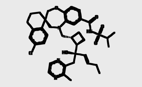 CC/C=C/[C@](O)(Cc1nccnc1C)[C@@H]1CC[C@H]1CN1C[C@@]2(CCCc3cc(Cl)ccc32)COc2ccc(C(=O)NS(=O)(=O)C(C)C)cc21